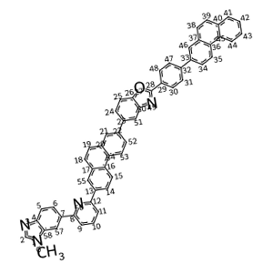 Cn1cnc2ccc(-c3cccc(-c4ccc5c(ccc6cc(-c7ccc8oc(-c9ccc(-c%10ccc%11c(ccc%12ccccc%12%11)c%10)cc9)nc8c7)ccc65)c4)n3)cc21